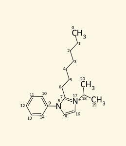 CCCCCCCc1n(-c2ccccc2)cc[n+]1C(C)C